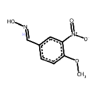 COc1ccc(/C=N/O)cc1[N+](=O)[O-]